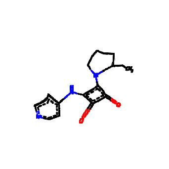 CC1CCCN1c1c(Nc2ccncc2)c(=O)c1=O